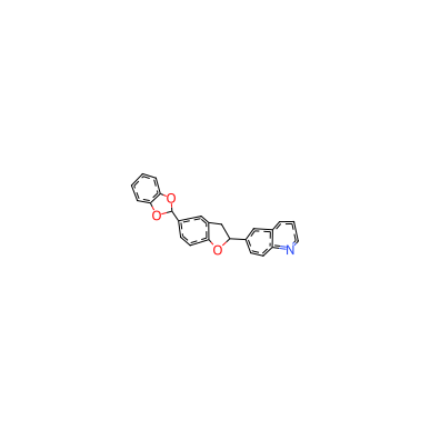 c1ccc2c(c1)OC(c1ccc3c(c1)CC(c1ccc4ncccc4c1)O3)O2